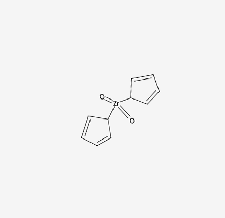 [O]=[Zr](=[O])([CH]1C=CC=C1)[CH]1C=CC=C1